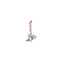 C#CCOCCOCCOc1ccc2c3c1C1CCCC1N3CCN(C(C)=O)C2